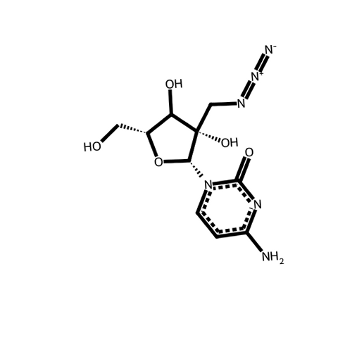 [N-]=[N+]=NC[C@]1(O)C(O)[C@@H](CO)O[C@H]1n1ccc(N)nc1=O